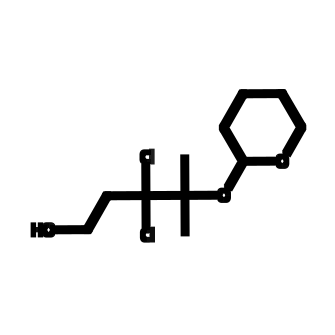 CC(C)(OC1CCCCO1)C(Cl)(Cl)CCO